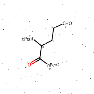 CCCCCC(=O)C(CCC=O)CCCCC